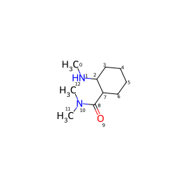 CNC1CCCCC1C(=O)N(C)C